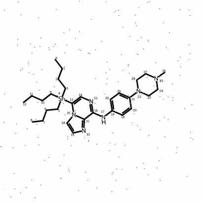 CCC[CH2][Sn]([CH2]CCC)([CH2]CCC)[c]1cnc(Nc2ccc(N3CCN(C)CC3)cc2)c2nccn12